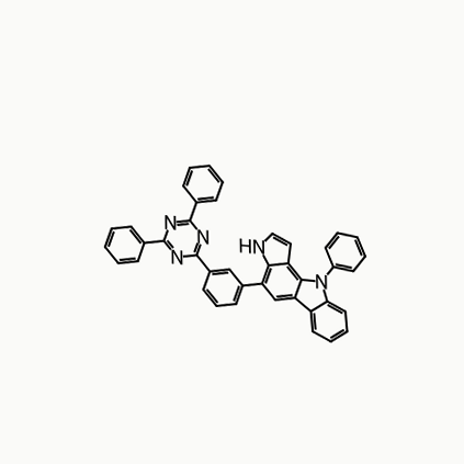 c1ccc(-c2nc(-c3ccccc3)nc(-c3cccc(-c4cc5c6ccccc6n(-c6ccccc6)c5c5cc[nH]c45)c3)n2)cc1